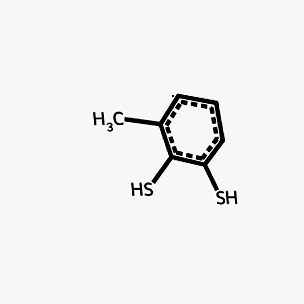 Cc1[c]ccc(S)c1S